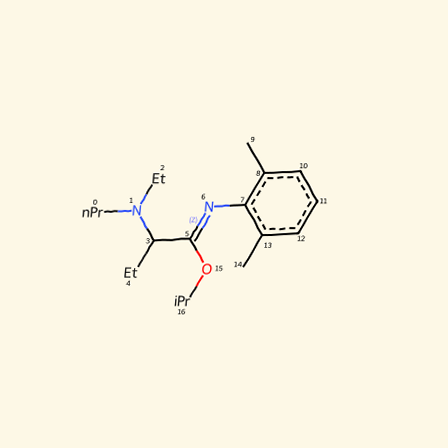 CCCN(CC)C(CC)/C(=N/c1c(C)cccc1C)OC(C)C